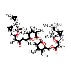 CC[C@@H]1C[C@@H]1C[C@@H]1C[C@@H]1C[C@@H](O[Si](C)(C)C(C)(C)C)[C@@H](CC)C(=O)CCC1OC(OC2OC(COC(=O)[C@H](CC)[C@@H](C[C@@H]3C[C@@H]3C[C@H](OC)[C@@H](C)CC)O[Si](C)(C)C(C)(C)C)C(C)C(C)C2C)C(C)C(C)C1C